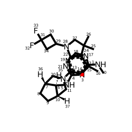 CNc1nc(N[C@@H]2[C@@H]3CC[C@H]2CN(c2cc(C)ncn2)C3)nc2c1C(C)(C)CN2C1CC(F)(F)C1